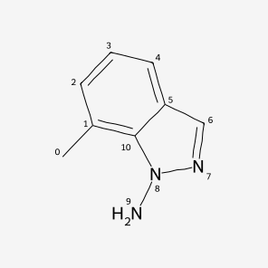 Cc1cccc2cnn(N)c12